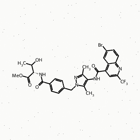 COC(=O)[C@@H](NC(=O)c1ccc(Cn2nc(C)c(NC(=O)c3cc(C(F)(F)F)nc4ccc(Br)cc34)c2C)cc1)C(C)O